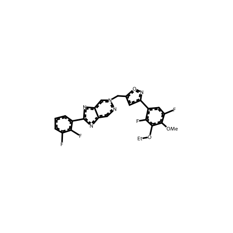 CCOc1c(F)c(-c2cc(Cn3cc4nc(-c5cccc(F)c5F)nc-4cn3)on2)cc(F)c1OC